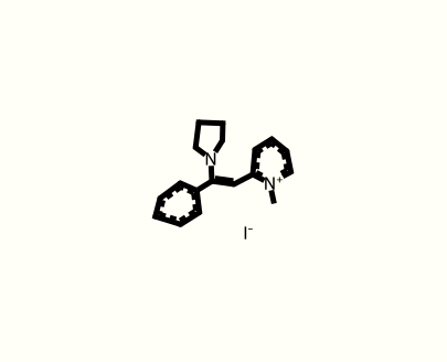 C[n+]1ccccc1/C=C(/c1ccccc1)N1CCCC1.[I-]